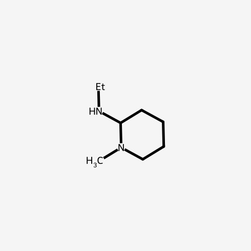 CCNC1CCCCN1C